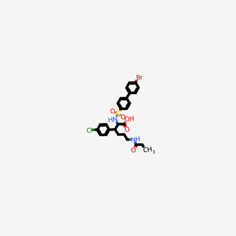 CCC(=O)NCCCC(c1ccc(Cl)cc1)C(NS(=O)(=O)c1ccc(-c2ccc(Br)cc2)cc1)C(=O)O